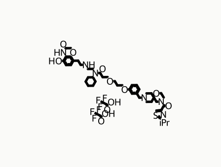 CC(C)c1nc(C(=O)N2CCOC3(CCN(Cc4cccc(OCCCOCCC(=O)N(CCNCCc5ccc(O)c6c5OCC(=O)N6)C5CCCCC5)c4)CC3)C2)cs1.O=C(O)C(F)(F)F.O=C(O)C(F)(F)F